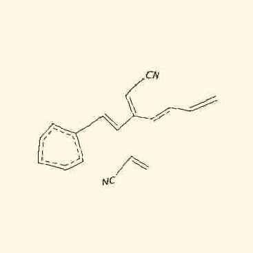 C=CC#N.C=CC=CC(C=Cc1ccccc1)=CC#N